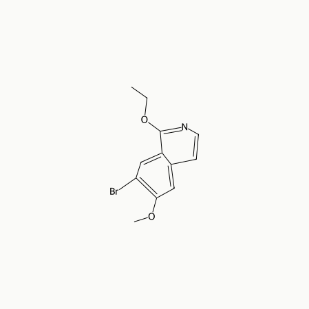 CCOc1nccc2cc(OC)c(Br)cc12